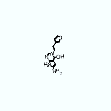 Nc1cc2c([nH]1)N=CN(CCc1ccoc1)C2O